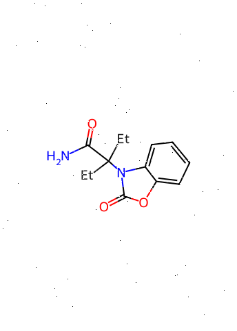 CCC(CC)(C(N)=O)n1c(=O)oc2ccccc21